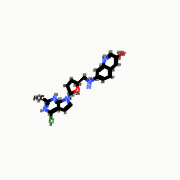 Cc1nc(Cl)c2ccn([C@H]3CC[C@@H](CNc4ccc5cc(Br)cnc5c4)O3)c2n1